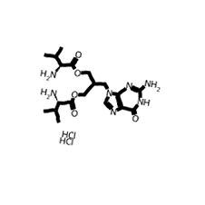 CC(C)[C@H](N)C(=O)OCC(COC(=O)[C@@H](N)C(C)C)Cn1cnc2c(=O)[nH]c(N)nc21.Cl.Cl